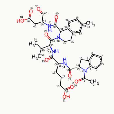 CC(=O)N1c2ccccc2C[C@H]1C(=O)N[C@@H](CCCC(=O)O)C(=O)N[C@H](C(=O)N1CCc2cc(C)ccc2C1C(=O)N[C@H](C=O)CC(=O)O)C(C)C